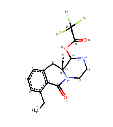 CCc1cccc2c1C(=O)N1CCNC(OC(=O)C(F)(F)F)[C@H]1C2